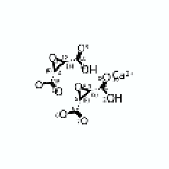 O=C(O)[C@H]1O[C@H]1C(=O)[O-].O=C(O)[C@H]1O[C@H]1C(=O)[O-].[Ca+2]